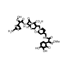 CO/N=C(\C(=O)NCC12CC[N+](CC3=C(C(=O)O)N4C(=O)[C@@H](NC(=O)/C(=N\O)c5csc(N)n5)[C@H]4S[C@H]3C)(CC1)C2)c1ccc(O)c(O)c1Cl